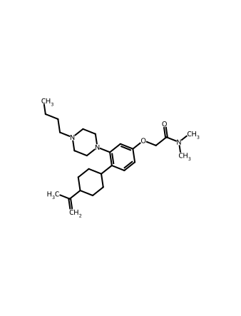 C=C(C)C1CCC(c2ccc(OCC(=O)N(C)C)cc2N2CCN(CCCC)CC2)CC1